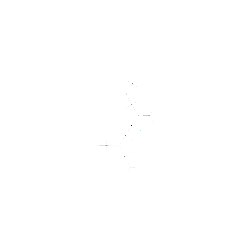 FC(F)N(C(F)(F)CC(F)(F)F)C(F)(F)C(F)(F)N(C(F)(F)F)C(F)(F)C(F)F